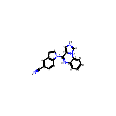 N#Cc1ccc2c(ccn2-c2nc3ccccc3n3cncc23)c1